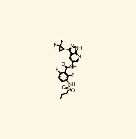 CCCS(=O)(=O)Nc1ccc(F)c(C(=O)Nc2cnc3[nH]nc([C@@H]4CC4(F)F)c3c2)c1F